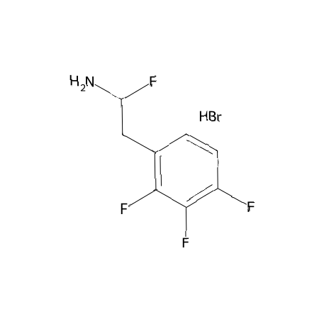 Br.NC(F)Cc1ccc(F)c(F)c1F